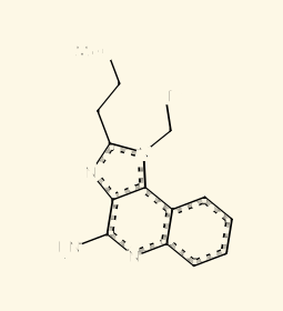 COCCc1nc2c(N)nc3ccccc3c2n1CC(C)C